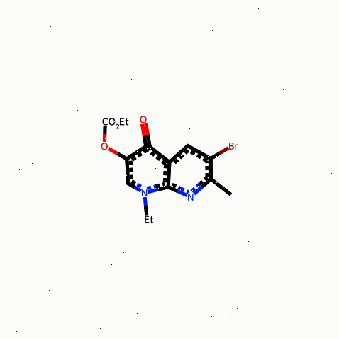 CCOC(=O)Oc1cn(CC)c2nc(C)c(Br)cc2c1=O